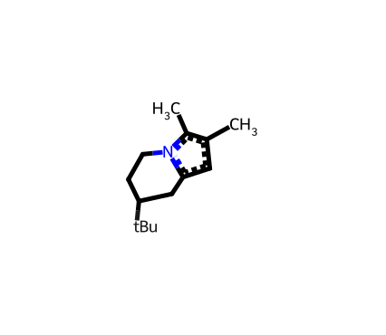 Cc1cc2n(c1C)CCC(C(C)(C)C)C2